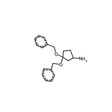 NC1CCC(OCc2ccccc2)(OCc2ccccc2)C1